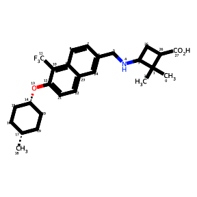 CC1(C)C(NCc2ccc3c(C(F)(F)F)c(O[C@H]4CC[C@@H](C)CC4)ccc3c2)CC1C(=O)O